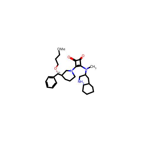 COCCCO[C@@H](c1ccccc1)C1CCCN(c2c(N(C)C(CN)CC3CCCCC3)c(=O)c2=O)C1